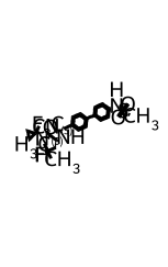 CC(C)(F)C[C@H](N[C@@H](c1ccc(-c2ccc(NS(C)(=O)=O)cc2)cc1)C(F)(F)F)C(=O)NC1(C#N)CC1